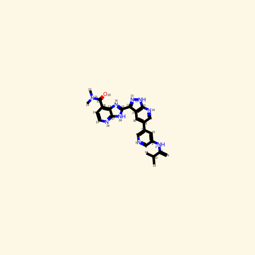 C=C(Nc1cncc(-c2cnc3[nH]nc(-c4nc5c(C(=O)N(C)C)ccnc5[nH]4)c3c2)c1)C(C)C